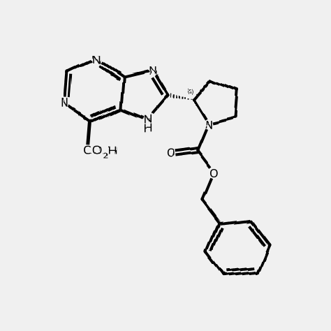 O=C(O)c1ncnc2nc([C@@H]3CCCN3C(=O)OCc3ccccc3)[nH]c12